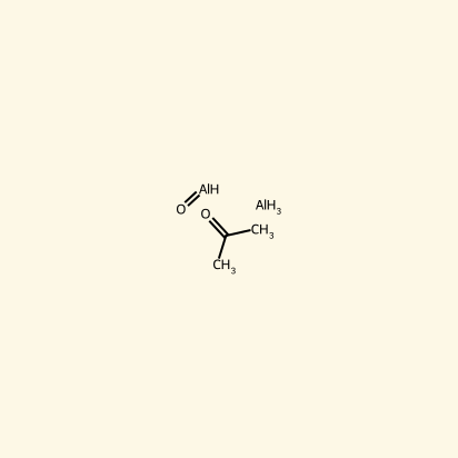 CC(C)=O.[AlH3].[O]=[AlH]